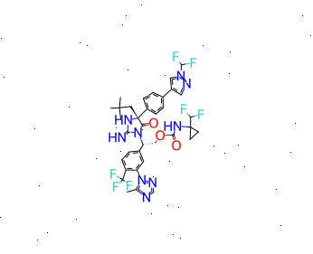 Cc1ncnn1-c1cc([C@@H](COC(=O)NC2(C(F)F)CC2)N2C(=N)N[C@](CC(C)(C)C)(c3ccc(-c4cnn(C(F)F)c4)cc3)C2=O)ccc1C(F)(F)F